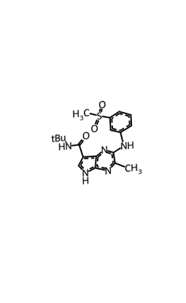 Cc1nc2[nH]cc(C(=O)NC(C)(C)C)c2nc1Nc1cccc(S(C)(=O)=O)c1